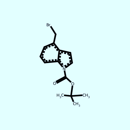 CC(C)(C)OC(=O)n1ccc2c(CBr)cccc21